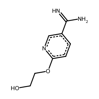 N=C(N)c1ccc(OCCO)nc1